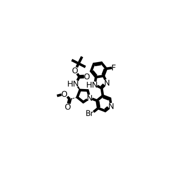 COC(=O)[C@H]1CN(c2c(Br)cncc2-c2nc3c(F)cccc3[nH]2)C[C@@H]1NC(=O)OC(C)(C)C